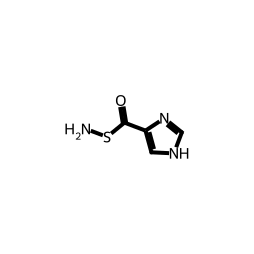 NSC(=O)c1c[nH]cn1